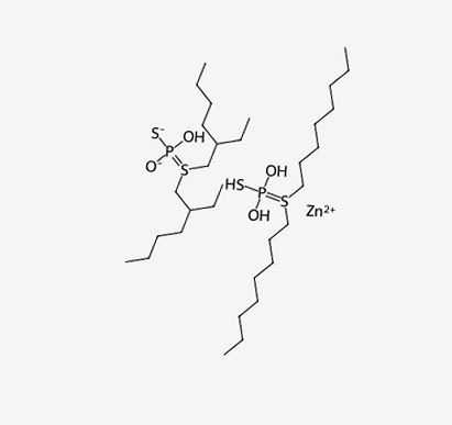 CCCCC(CC)CS(CC(CC)CCCC)=P([O-])(O)[S-].CCCCCCCCS(CCCCCCCC)=P(O)(O)S.[Zn+2]